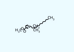 CCCCCCCCCCC(C)(C)CCn1ccc(C(=O)OC)c1